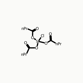 CCCC(=O)O[Si](Cl)(OC(=O)CCC)OC(=O)CCC